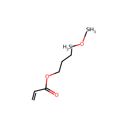 C=CC(=O)OCCC[SiH2]O[SiH3]